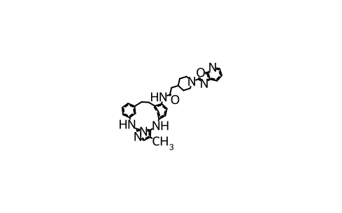 Cc1cnc2nc1Nc1ccc(NC(=O)CC3CCN(c4nc5cccnc5o4)CC3)c(c1)CCc1cccc(c1)N2